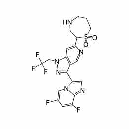 O=S1(=O)CCCNCC1c1cc2c(cn1)c(-c1cnc3c(F)cc(F)cn13)nn2CC(F)(F)F